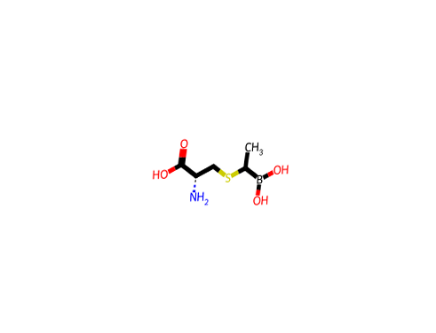 CC(SC[C@H](N)C(=O)O)B(O)O